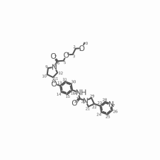 COCCOCC(=O)N1CC[C@@H](Oc2ccc(NC(=O)N3CC(c4cccnc4)C3)cc2)C1